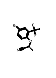 C[C@@H](C#N)Oc1ccc(Br)cc1C(C)(F)F